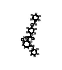 O=C1CC=CN(Cc2ccccc2)C=C1NC(=O)c1ccc(OCc2ccccc2)cc1